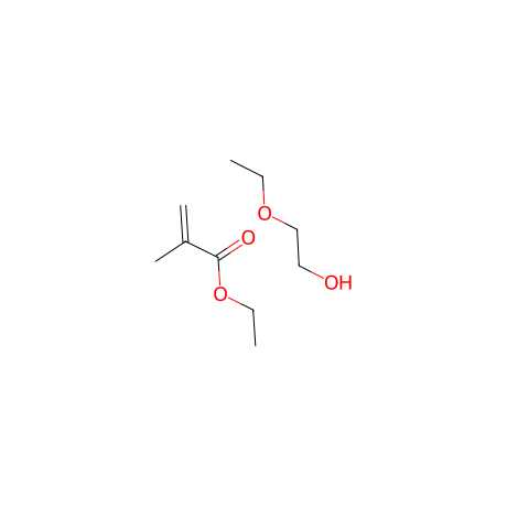 C=C(C)C(=O)OCC.CCOCCO